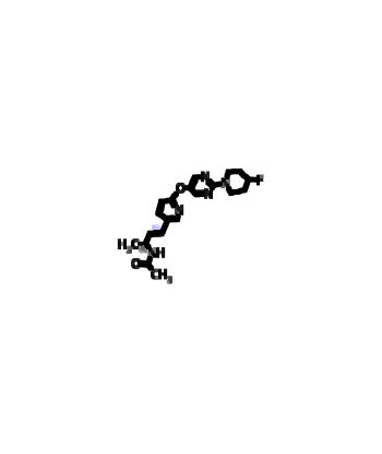 CC(=O)N[C@@H](C)/C=C/c1ccc(Oc2cnc(N3CCC(F)CC3)nc2)nc1